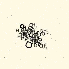 CC[C@H](C)[C@H](NC(=O)[C@@H](Cc1ccccc1)N(C)C(=O)OC(C)(C)C)C(=O)N[C@@H](COCC(C)C)C(=O)N[C@H](CCC(N)=O)C(=O)N[C@@H](C(=O)OC1CCCCCCCC1)[C@@H](C)CC